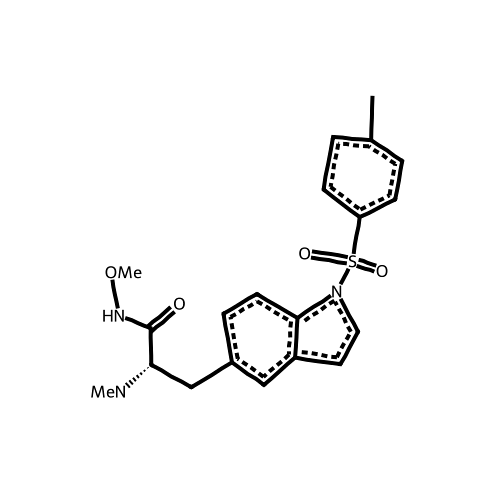 CN[C@@H](Cc1ccc2c(ccn2S(=O)(=O)c2ccc(C)cc2)c1)C(=O)NOC